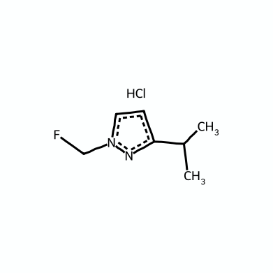 CC(C)c1ccn(CF)n1.Cl